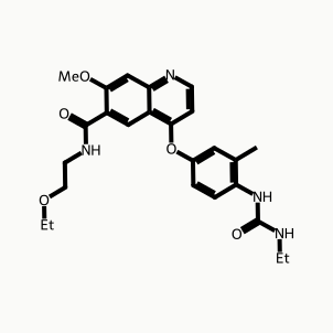 CCNC(=O)Nc1ccc(Oc2ccnc3cc(OC)c(C(=O)NCCOCC)cc23)cc1C